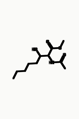 CCCCCC(O)C(NC(C)=O)C(=O)OC